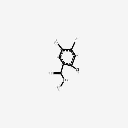 CC(C)OC(=O)c1cc(Br)c(F)cc1Cl